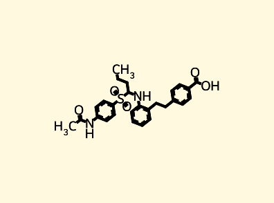 CCCC(Nc1ccccc1CCc1ccc(C(=O)O)cc1)S(=O)(=O)c1ccc(NC(C)=O)cc1